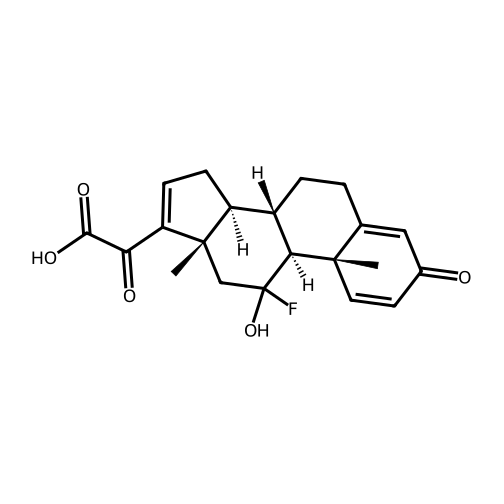 C[C@]12C=CC(=O)C=C1CC[C@@H]1[C@@H]2C(O)(F)C[C@]2(C)C(C(=O)C(=O)O)=CC[C@@H]12